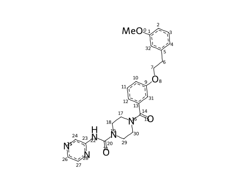 COc1cccc(CCOc2cccc(C(=O)N3CCN(C(=O)Nc4cnccn4)CC3)c2)c1